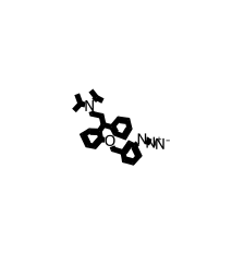 CC(C)N(CCC(c1ccccc1)c1ccccc1OCc1cccc(N=[N+]=[N-])c1)C(C)C